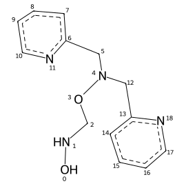 ONCON(Cc1ccccn1)Cc1ccccn1